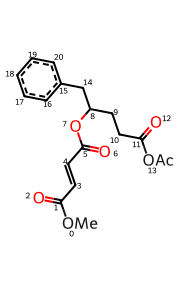 COC(=O)/C=C/C(=O)OC(CCC(=O)OC(C)=O)Cc1ccccc1